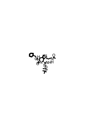 CN/C(=N\O[Si](C)(C)C(C)(C)C)[C@@H]1c2c(cnn2CCNC(C)=O)[C@@H]2CN1C(=O)N2OCc1ccccc1